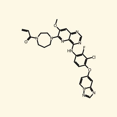 C=CC(=O)N1CCCN(c2nc3c(Nc4ccc(Oc5ccn6ncnc6c5)c(Cl)c4F)ncnc3cc2OC)CC1